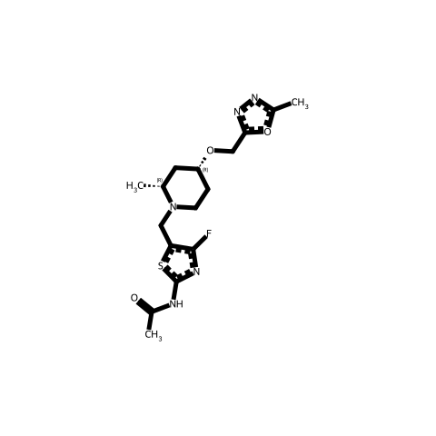 CC(=O)Nc1nc(F)c(CN2CC[C@@H](OCc3nnc(C)o3)C[C@H]2C)s1